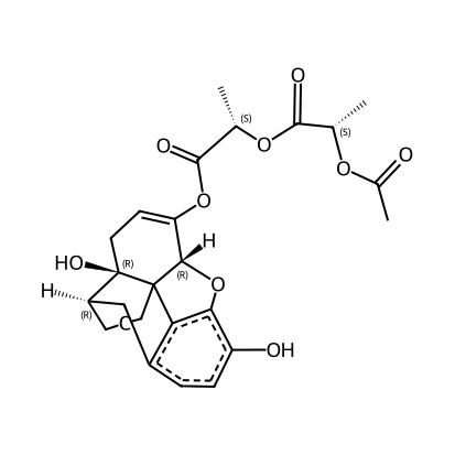 CC(=O)O[C@@H](C)C(=O)O[C@@H](C)C(=O)OC1=CC[C@@]2(O)[C@@H]3CCCC24c2c(ccc(O)c2O[C@@H]14)C3